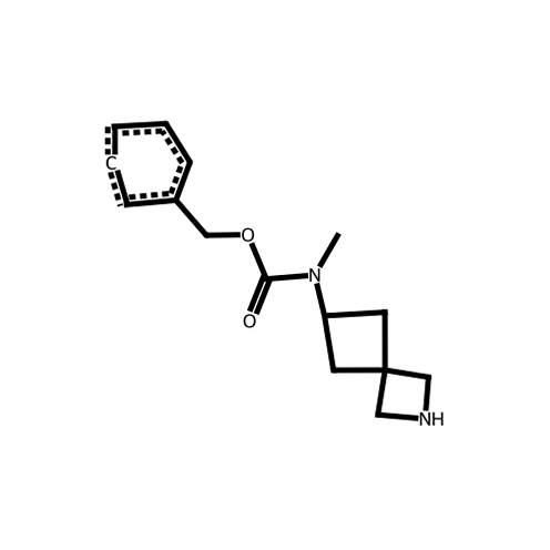 CN(C(=O)OCc1ccccc1)C1CC2(CNC2)C1